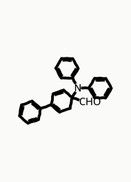 O=CC1(N(c2ccccc2)c2ccccc2)C=CC(c2ccccc2)=CC1